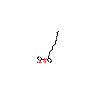 CCCCCCCCCCCCc1ccccc1OC(=O)c1ccccc1O